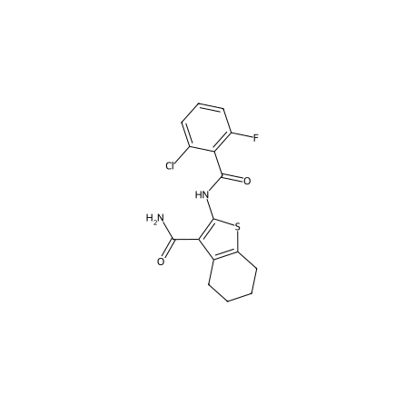 NC(=O)c1c(NC(=O)c2c(F)cccc2Cl)sc2c1CCCC2